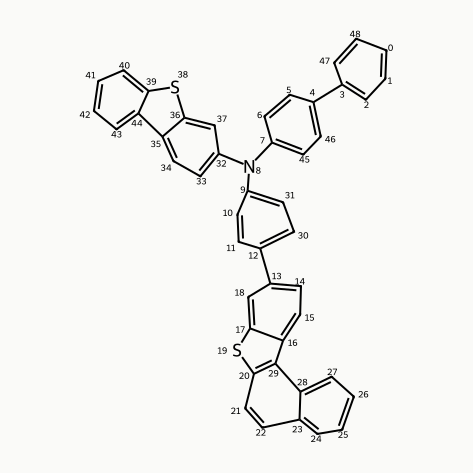 c1ccc(-c2ccc(N(c3ccc(-c4ccc5c(c4)sc4ccc6ccccc6c45)cc3)c3ccc4c(c3)sc3ccccc34)cc2)cc1